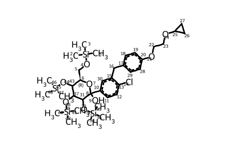 C[Si](C)(C)OC[C@H]1OC(O)(c2ccc(Cl)c(Cc3ccc(OCCOC4CC4)cc3)c2)C(O[Si](C)(C)C)C(O[Si](C)(C)C)C1O[Si](C)(C)C